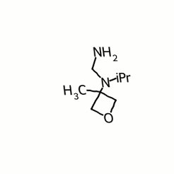 CC(C)N(CN)C1(C)COC1